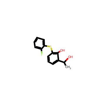 CC(O)c1cccc(Sc2ccccc2F)c1O